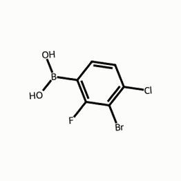 OB(O)c1ccc(Cl)c(Br)c1F